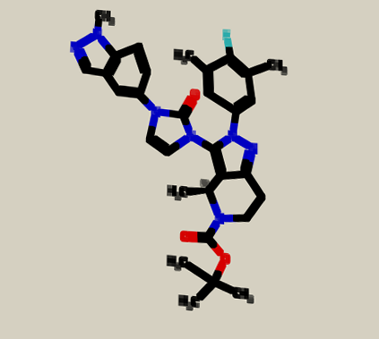 Cc1cc(-n2nc3c(c2-n2ccn(-c4ccc5c(cnn5C)c4)c2=O)[C@H](C)N(C(=O)OC(C)(C)C)CC3)cc(C)c1F